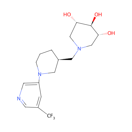 O[C@H]1[C@H](O)CN(C[C@@H]2CCCN(c3cncc(C(F)(F)F)c3)C2)C[C@@H]1O